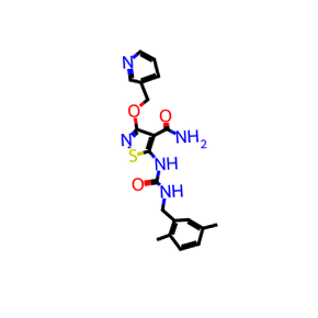 Cc1ccc(C)c(CNC(=O)Nc2snc(OCc3cccnc3)c2C(N)=O)c1